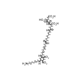 NCCOCCOCCNc1cc(NCCOCCOCCNC(=O)CCCCCCCNC(=O)CCC(NC(=O)NC(CCC(=O)O)C(=O)O)C(=O)O)c([N+](=O)[O-])cc1[N+](=O)[O-]